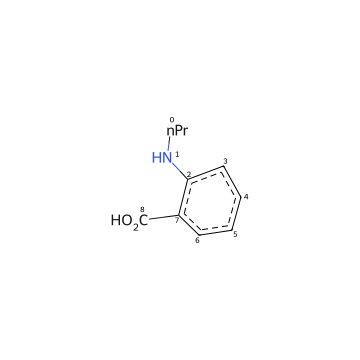 CCCNc1ccccc1C(=O)O